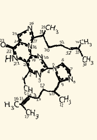 CCc1nc(-n2ccnc2C(C)CCC=C(C)C)nc2c1[nH]c(=O)c1cnc(C(C)CCC=C(C)C)n12